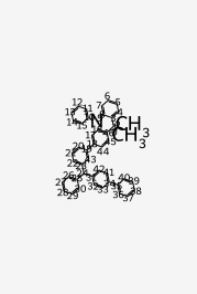 CC1(C)c2ccccc2N(c2ccccc2)c2cc(-c3cccc(C(c4ccccc4)c4ccc(-c5ccccc5)cc4)c3)ccc21